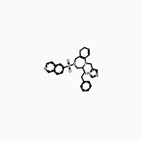 O=S(=O)(c1ccc2cnccc2c1)N1CC2=C(C=CCC2)N(Cc2cnc[nH]2)C(CCc2ccccc2)C1